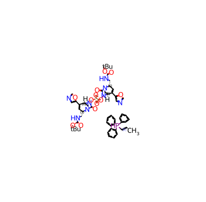 C/C=C/[PH](c1ccccc1)(c1ccccc1)c1ccccc1.CC(C)(C)OC(=O)NC[C@@H]1C=C(c2cnco2)[C@@H]2CN1C(=O)N2OS(=O)(=O)ON1C(=O)N2C[C@H]1C(c1cnco1)=C[C@H]2CNC(=O)OC(C)(C)C